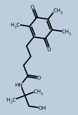 CC1=C(C)C(=O)C(CCCC(=O)NC(C)(C)CO)=C(C)C1=O